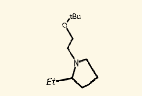 CCC1CCCN1CCOC(C)(C)C